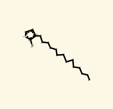 CCCCCCCCCCCCCCc1ccsc1Br